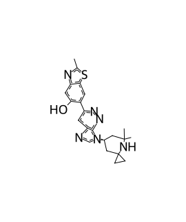 Cc1nc2cc(O)c(-c3cc4ncn([C@H]5CC(C)(C)NC6(CC6)C5)c4nn3)cc2s1